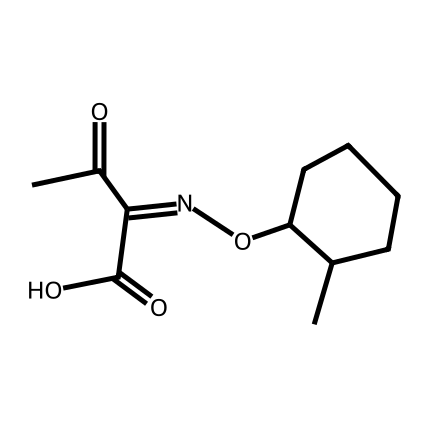 CC(=O)C(=NOC1CCCCC1C)C(=O)O